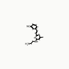 Cc1cc(NCCN)nc(C=Cc2cccc(C#N)c2)n1